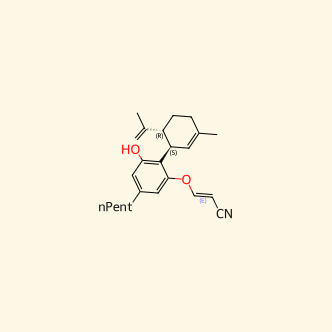 C=C(C)[C@@H]1CCC(C)=C[C@H]1c1c(O)cc(CCCCC)cc1O/C=C/C#N